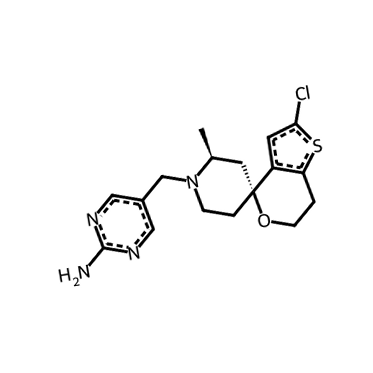 C[C@H]1C[C@@]2(CCN1Cc1cnc(N)nc1)OCCc1sc(Cl)cc12